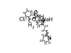 Cc1c(Cl)cccc1S(=O)(=O)Nc1nc(CCSc2ccccn2)cs1.[NaH]